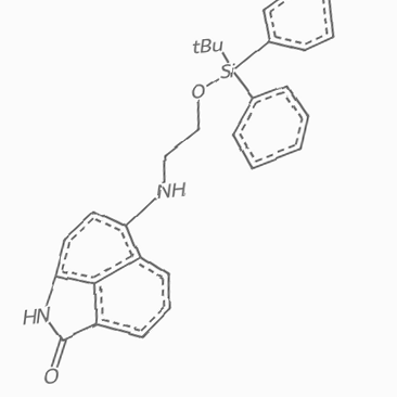 CC(C)(C)[Si](OCCNc1ccc2c3c(cccc13)C(=O)N2)(c1ccccc1)c1ccccc1